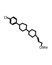 COC/C=C/C1CCC(C2CCC(c3ccc(Cl)cc3)CC2)CC1